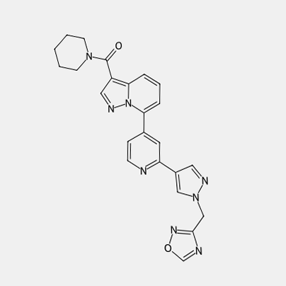 O=C(c1cnn2c(-c3ccnc(-c4cnn(Cc5ncon5)c4)c3)cccc12)N1CCCCC1